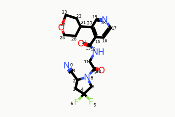 N#CC1CC(F)(F)CN1C(=O)CNC(=O)c1ccncc1C1CCOCC1